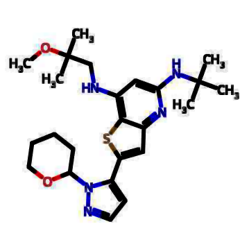 COC(C)(C)CNc1cc(NC(C)(C)C)nc2cc(-c3ccnn3C3CCCCO3)sc12